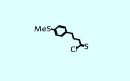 CSc1ccc(CCCC(=S)Cl)cc1